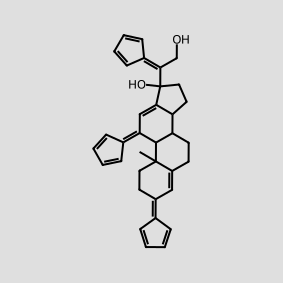 CC12CCC(=C3C=CC=C3)C=C1CCC1C3CCC(O)(C(CO)=C4C=CC=C4)C3=CC(=C3C=CC=C3)C12